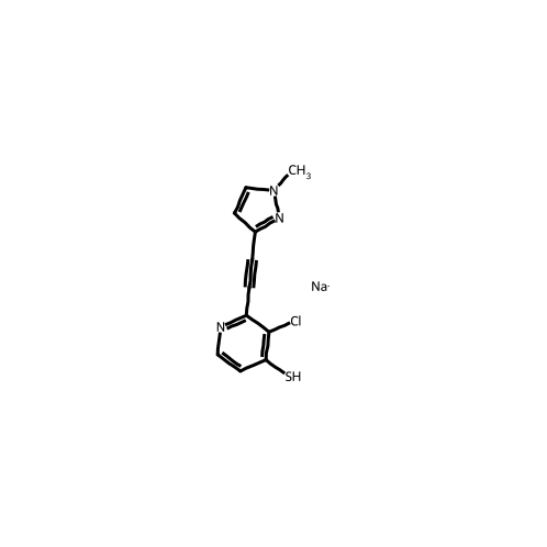 Cn1ccc(C#Cc2nccc(S)c2Cl)n1.[Na]